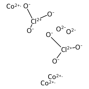 [Co+2].[Co+2].[Co+2].[O-2].[O-2].[O-][Cl+2]([O-])[O-].[O-][Cl+2]([O-])[O-]